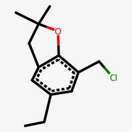 CCc1cc(CCl)c2c(c1)CC(C)(C)O2